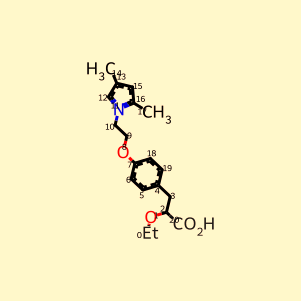 CCOC(Cc1ccc(OCCn2cc(C)cc2C)cc1)C(=O)O